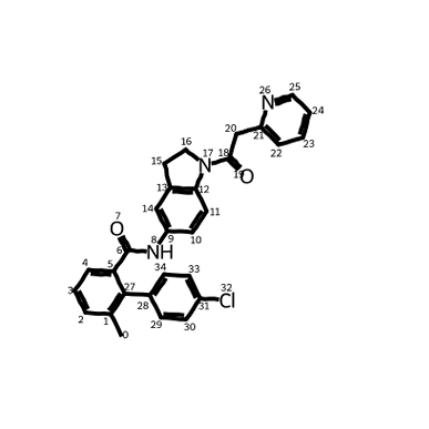 Cc1cccc(C(=O)Nc2ccc3c(c2)CCN3C(=O)Cc2ccccn2)c1-c1ccc(Cl)cc1